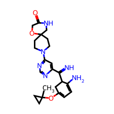 CC1(OC2=CC=C(N)C(C(=N)c3cc(N4CCC5(CC4)CNC(=O)CO5)ncn3)C2)CC1